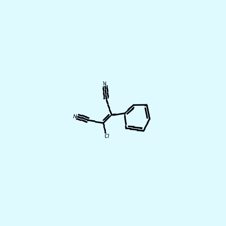 N#CC(Cl)=C(C#N)c1ccccc1